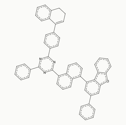 C1=C(c2ccc(-c3nc(-c4ccccc4)nc(-c4cccc5c(-c6cc(-c7ccccc7)cc7oc8ccccc8c67)cccc45)n3)cc2)c2ccccc2CC1